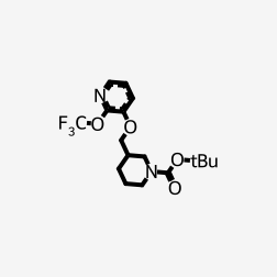 CC(C)(C)OC(=O)N1CCCC(COc2cccnc2OC(F)(F)F)C1